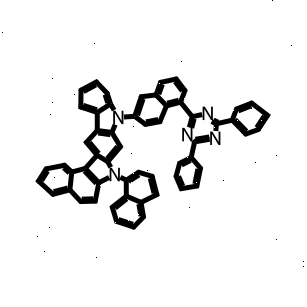 c1ccc(-c2nc(-c3ccccc3)nc(-c3cccc4cc(-n5c6ccccc6c6cc7c8c9ccccc9ccc8n(-c8cccc9ccccc89)c7cc65)ccc34)n2)cc1